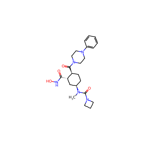 CN(C(=O)N1CCC1)[C@@H]1CC[C@H](C(=O)N2CCN(c3ccccc3)CC2)[C@@H](C(=O)NO)C1